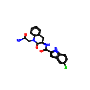 NC(=O)CN1C(=O)[C@H](NC(=O)c2cc3cc(Cl)ccc3[nH]2)Cc2ccccc21